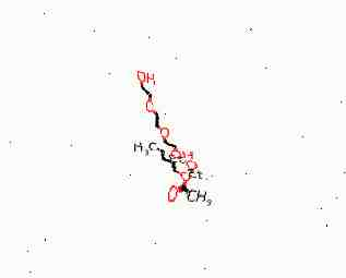 CCCCCOC(C)=O.CCOCC.OCCOCCOCCO